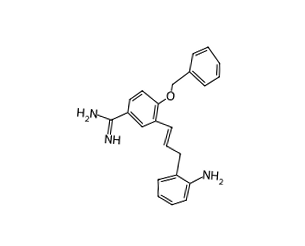 N=C(N)c1ccc(OCc2ccccc2)c(C=CCc2ccccc2N)c1